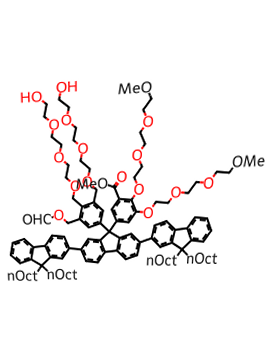 CCCCCCCCC1(CCCCCCCC)c2ccccc2-c2ccc(-c3ccc4c(c3)C(c3cc(COC=O)c(COCCOCCOCCO)c(COCCOCCOCCO)c3)(c3cc(OCCOCCOCCOC)c(OCCOCCOCCOC)c(C(=O)OC)c3)c3cc(-c5ccc6c(c5)C(CCCCCCCC)(CCCCCCCC)c5ccccc5-6)ccc3-4)cc21